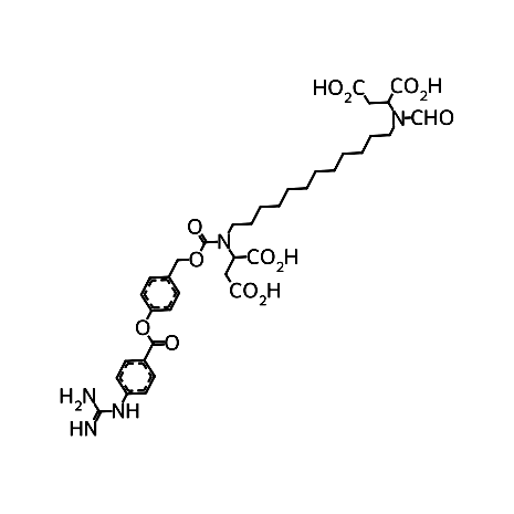 N=C(N)Nc1ccc(C(=O)Oc2ccc(COC(=O)N(CCCCCCCCCCCCN(C=O)C(CC(=O)O)C(=O)O)C(CC(=O)O)C(=O)O)cc2)cc1